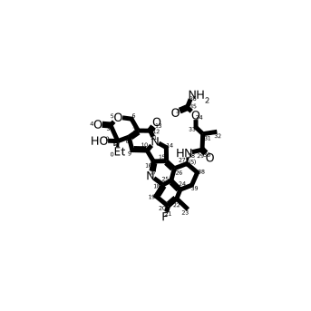 CC[C@@]1(O)C(=O)OCc2c1cc1n(c2=O)Cc2c-1nc1cc(F)c(C)c3c1c2[C@@H](NC(=O)C(C)COC(N)=O)CC3